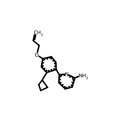 C=CCOc1ccc(-c2cccc(N)n2)c(C2CCC2)c1